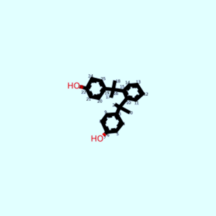 CC(C)(c1ccc(O)cc1)c1ccccc1C(C)(C)c1ccc(O)cc1